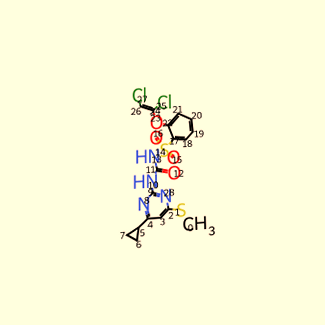 CSc1cc(C2CC2)nc(NC(=O)NS(=O)(=O)c2ccccc2OC(Cl)=CCl)n1